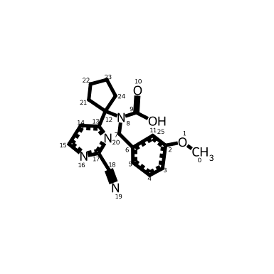 COc1cccc(CN(C(=O)O)C2(c3ccnc(C#N)n3)CCCC2)c1